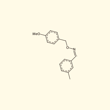 COc1ccc(CO/N=[C]\c2cccc(C)c2)cc1